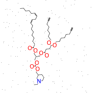 C#CCCCCCCOC(CCC(=O)OCC(COC(=O)CCCCCCC/C=C\C/C=C\CCCCC)COC(=O)OCC1CCCN(CC)C1)OCCCCCCC#C